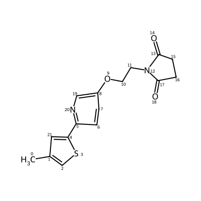 Cc1csc(-c2ccc(OCCN3C(=O)CCC3=O)cn2)c1